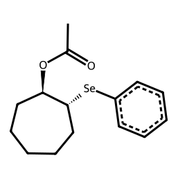 CC(=O)O[C@@H]1CCCCC[C@H]1[Se]c1ccccc1